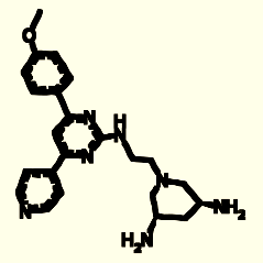 COc1ccc(-c2cc(-c3ccncc3)nc(NCCN3C[C@H](N)C[C@H](N)C3)n2)cc1